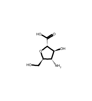 N[C@H]1[C@H](O)[C@@H](C(=O)O)O[C@@H]1CO